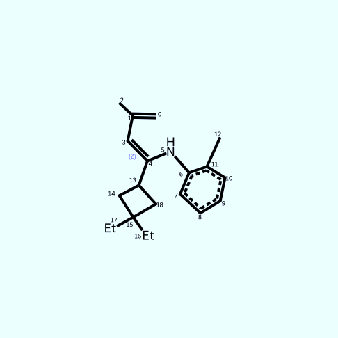 C=C(C)/C=C(\Nc1ccccc1C)C1CC(CC)(CC)C1